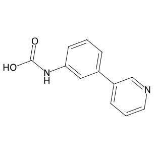 O=C(O)Nc1cccc(-c2cccnc2)c1